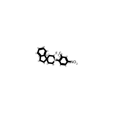 O=[N+]([O-])c1ccc(N2CCC3(CCc4ccccc43)CC2)c(C(F)(F)F)c1